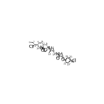 C=C/C(Cl)=C\C=C/C1CC(NC(=C)CCNC(=O)COc2ccc(Cl)cc2)OON1C